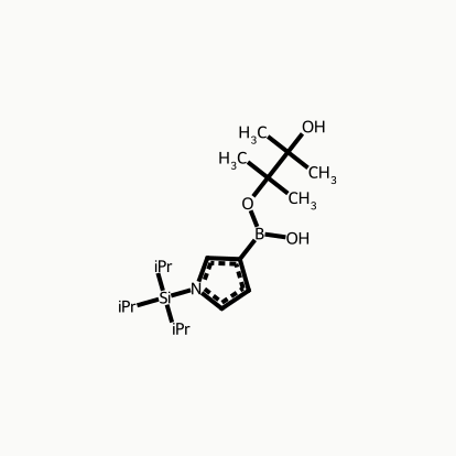 CC(C)[Si](C(C)C)(C(C)C)n1ccc(B(O)OC(C)(C)C(C)(C)O)c1